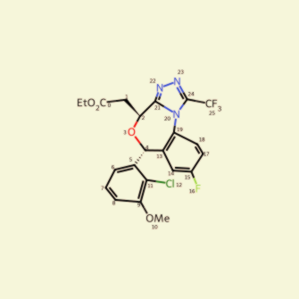 CCOC(=O)C[C@@H]1O[C@@H](c2cccc(OC)c2Cl)c2cc(F)ccc2-n2c1nnc2C(F)(F)F